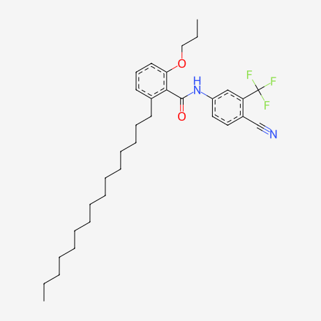 CCCCCCCCCCCCCCCc1cccc(OCCC)c1C(=O)Nc1ccc(C#N)c(C(F)(F)F)c1